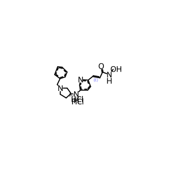 Cl.Cl.O=C(/C=C/c1ccc(N[C@@H]2CCN(Cc3ccccc3)C2)cn1)NO